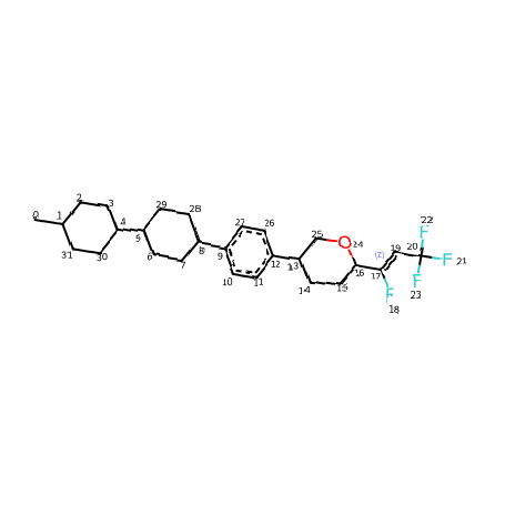 CC1CCC(C2CCC(c3ccc(C4CCC(/C(F)=C/C(F)(F)F)OC4)cc3)CC2)CC1